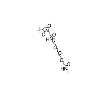 CCNC(=O)CCOCCOCCOCCONC(=O)CCN1C(=O)CC(C(C)(C)C)C1=O